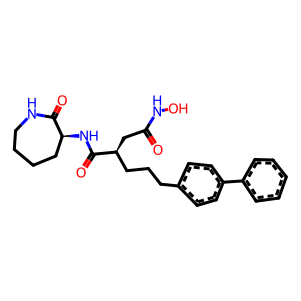 O=C(C[C@@H](CCCc1ccc(-c2ccccc2)cc1)C(=O)N[C@H]1CCCCNC1=O)NO